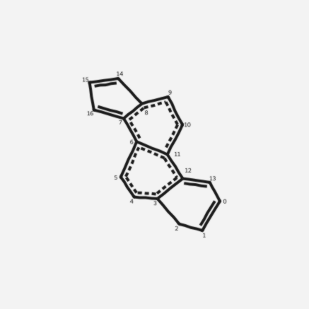 C1=CCc2ccc3c4c(ccc3c2=C1)C=CC=4